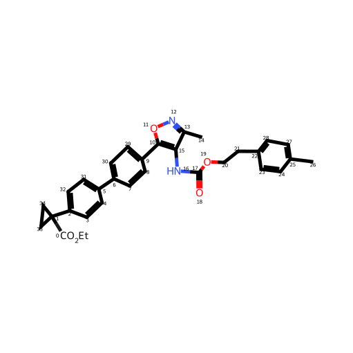 CCOC(=O)C1(c2ccc(-c3ccc(-c4onc(C)c4NC(=O)OCCc4ccc(C)cc4)cc3)cc2)CC1